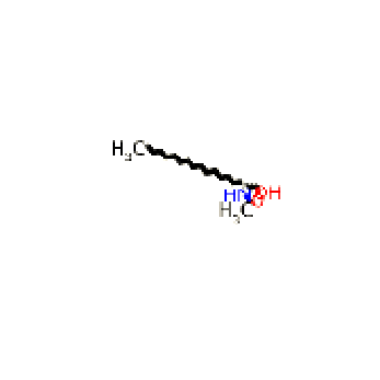 CCCCCCCCCCCCCCCC[C@H](CO)NC(C)=O